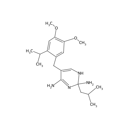 COc1cc(CC2=CNC(N)(CC(C)C)N=C2N)c(C(C)C)cc1OC